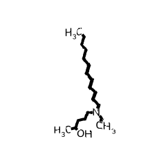 CCCCCCCCCCCCN(CC)CCCC(C)O